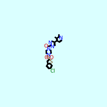 Cc1nccc(-c2cnc(C(=O)N3CCN(S(=O)(=O)c4cc5ccc(Cl)cc5s4)CC3)nc2)c1C